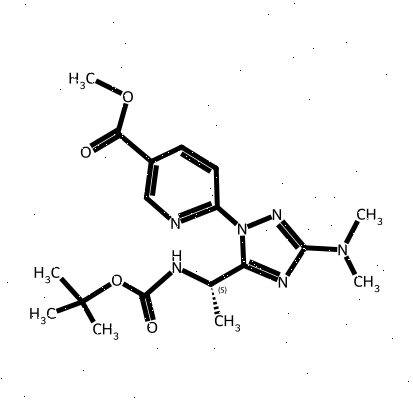 COC(=O)c1ccc(-n2nc(N(C)C)nc2[C@H](C)NC(=O)OC(C)(C)C)nc1